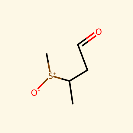 CC(CC=O)[S+](C)[O-]